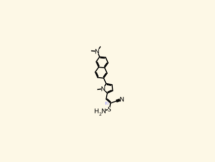 CN(C)c1ccc2cc(-c3ccc(/C=C(\C#N)SN)n3C)ccc2c1